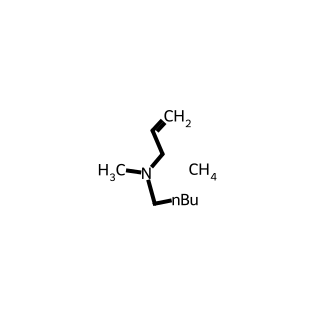 C.C=CCN(C)CCCCC